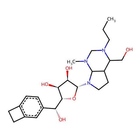 CCCN1CN(C)C2C(CCN2[C@@H]2O[C@H]([C@H](O)c3ccc4c(c3)CC4)[C@@H](O)[C@H]2O)C1CO